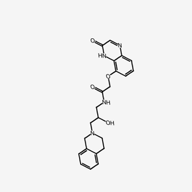 O=C(COc1cccc2ncc(=O)[nH]c12)NCC(O)CN1CCc2ccccc2C1